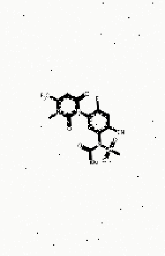 CCC(C)C(=O)N(c1cc(-n2c(=O)cc(C(F)(F)F)n(C)c2=O)c(F)cc1C#N)S(C)(=O)=O